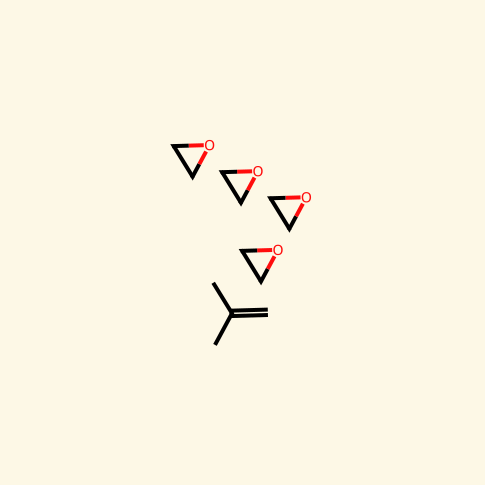 C1CO1.C1CO1.C1CO1.C1CO1.C=C(C)C